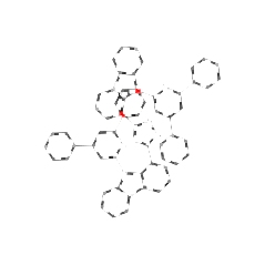 c1ccc(-c2cc(-c3ccccc3)nc(-n3c4ccccc4c4cccc(-c5nnc(-c6cccc7c8ccccc8n(-c8cc(-c9ccccc9)cc(-c9ccccc9)n8)c67)s5)c43)c2)cc1